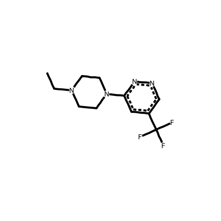 CCN1CCN(c2cc(C(F)(F)F)cnn2)CC1